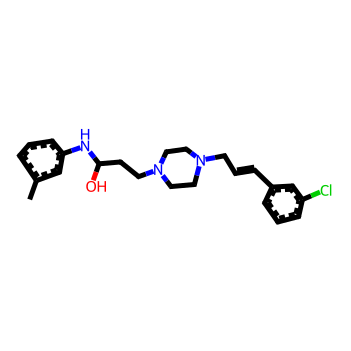 Cc1cccc(NC(O)CCN2CCN(C/C=C/c3cccc(Cl)c3)CC2)c1